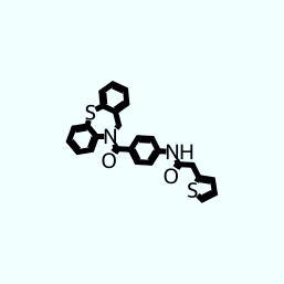 O=C(Cc1cccs1)Nc1ccc(C(=O)N2Cc3ccccc3Sc3ccccc32)cc1